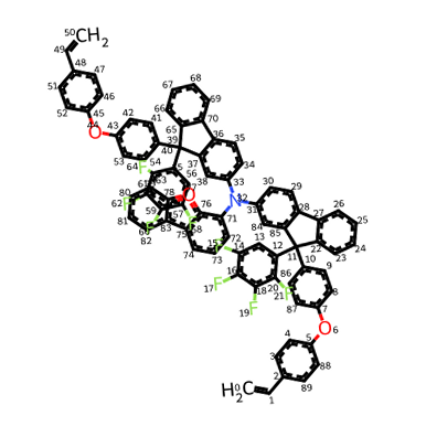 C=Cc1ccc(Oc2ccc(C3(c4cc(F)c(F)c(F)c4F)c4ccccc4-c4ccc(N(c5ccc6c(c5)C(c5ccc(Oc7ccc(C=C)cc7)cc5)(c5cc(F)c(F)c(F)c5F)c5ccccc5-6)c5cccc6c5oc5ccccc56)cc43)cc2)cc1